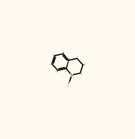 FN1CCCc2ccccc21